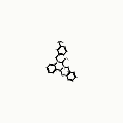 COc1cccc(CN2c3ccccc3C(N)N(Cc3ccccc3)C2N)c1